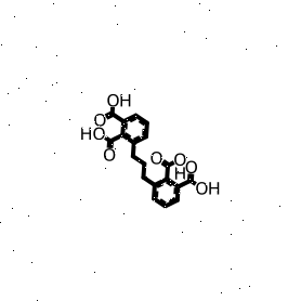 O=C(O)c1cccc(CCCc2cccc(C(=O)O)c2C(=O)O)c1C(=O)O